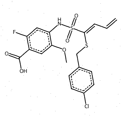 C=C/C=C(\SCc1ccc(Cl)cc1)S(=O)(=O)Nc1cc(F)c(C(=O)O)cc1OC